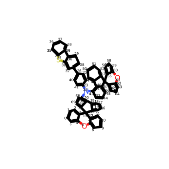 c1ccc2c(c1)Oc1ccccc1C21c2ccccc2-c2c(N(c3ccc(-c4ccc5c(c4)sc4ccccc45)cc3)c3cccc4c3-c3ccccc3C43c4ccccc4Oc4ccccc43)cccc21